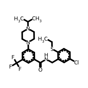 CCSc1ccc(Cl)cc1CNC(=O)c1cc(N2CCN(C(C)C)CC2)cc(C(F)(F)F)c1